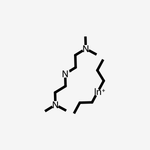 CC[CH2][In+][CH2]CC.CN(C)CC[N-]CCN(C)C